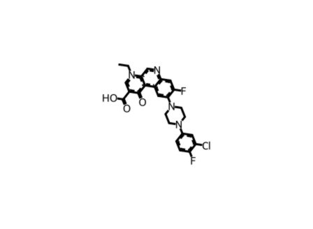 CCn1cc(C(=O)O)c(=O)c2c3cc(N4CCN(c5ccc(F)c(Cl)c5)CC4)c(F)cc3ncc21